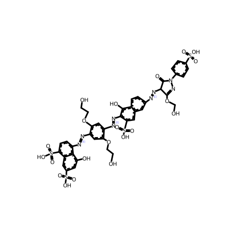 O=C1C(/N=N/c2ccc3c(O)c(/N=N/c4cc(OCCO)c(/N=N/c5ccc(S(=O)(=O)O)c6cc(S(=O)(=O)O)cc(O)c56)cc4OCCO)c(S(=O)(=O)O)cc3c2)C(OCO)=NN1c1ccc(S(=O)(=O)O)cc1